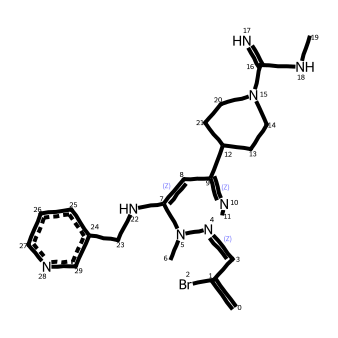 C=C(Br)/C=N\N(C)/C(=C\C(=N/C)C1CCN(C(=N)NC)CC1)NCc1cccnc1